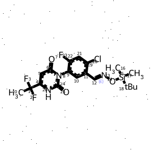 CC(F)(F)c1cc(=O)n(-c2cc(/C=N/O[Si](C)(C)C(C)(C)C)c(Cl)cc2F)c(=O)[nH]1